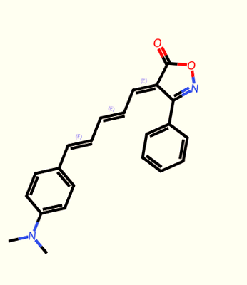 CN(C)c1ccc(/C=C/C=C/C=C2/C(=O)ON=C2c2ccccc2)cc1